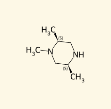 C[C@H]1CN(C)[C@@H](C)CN1